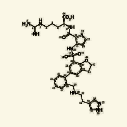 N=C(N)NCCC[C@H](NC(=O)c1sccc1NS(=O)(=O)c1cc(-c2ccccc2CNCCc2cn[nH]c2)cc2c1OCC2)C(=O)O